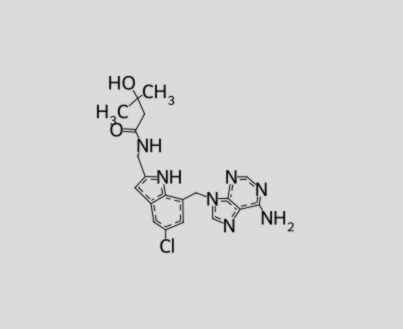 CC(C)(O)CC(=O)NCc1cc2cc(Cl)cc(Cn3cnc4c(N)ncnc43)c2[nH]1